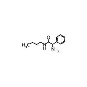 CCCCNC(=O)C(N)c1ccccc1